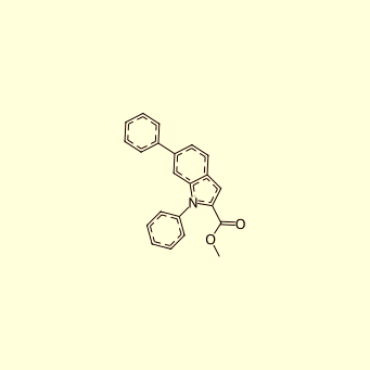 COC(=O)c1cc2ccc(-c3ccccc3)cc2n1-c1ccccc1